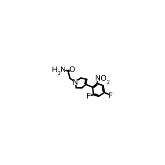 NC(=O)CN1CC=C(c2c(F)cc(F)cc2[N+](=O)[O-])CC1